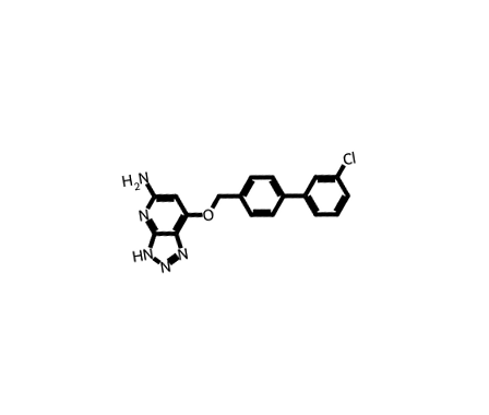 Nc1cc(OCc2ccc(-c3cccc(Cl)c3)cc2)c2nn[nH]c2n1